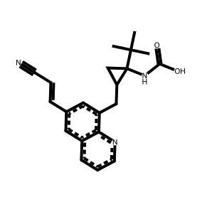 CC(C)(C)C1(NC(=O)O)CC1Cc1cc(C=CC#N)cc2cccnc12